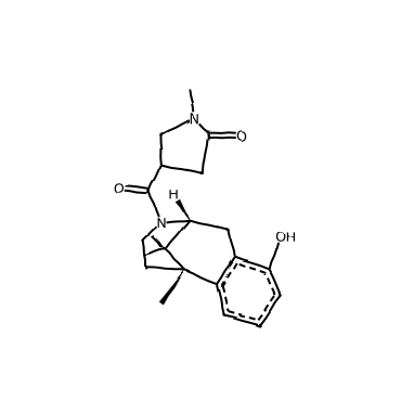 CN1CC(C(=O)N2CC[C@@]3(C)c4cccc(O)c4C[C@@H]2C3(C)C)CC1=O